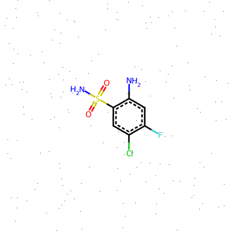 Nc1cc(F)c(Cl)cc1S(N)(=O)=O